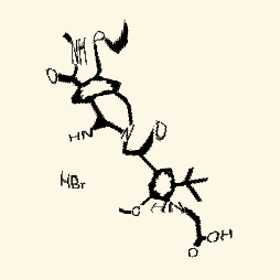 Br.CCOc1cc2c(cc1C(=O)NC)C(=N)N(CC(=O)c1cc(OC)c(NCC(=O)O)c(C(C)(C)C)c1)C2